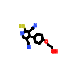 N#Cc1cnc(S)c(C#N)c1-c1ccc(OCCO)cc1